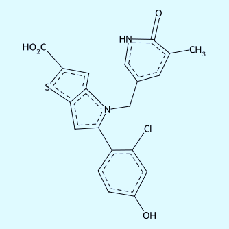 Cc1cc(Cn2c(-c3ccc(O)cc3Cl)cc3sc(C(=O)O)cc32)c[nH]c1=O